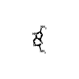 Nc1ncc2[nH]c(N)cc2n1